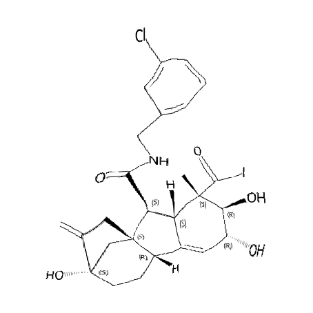 C=C1C[C@]23C[C@@]1(O)CC[C@H]2C1=C[C@@H](O)[C@H](O)[C@@](C)(C(=O)I)[C@H]1[C@@H]3C(=O)NCc1cccc(Cl)c1